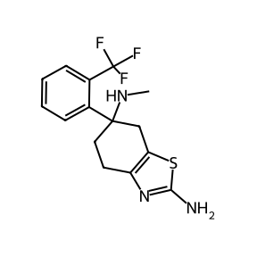 CNC1(c2ccccc2C(F)(F)F)CCc2nc(N)sc2C1